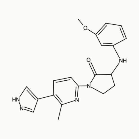 COc1cccc(NC2CCN(c3ccc(-c4cn[nH]c4)c(C)n3)C2=O)c1